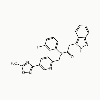 O=C(Cc1[nH]nc2ccccc12)N(Cc1ccc(-c2noc(C(F)(F)F)n2)cn1)c1cccc(F)c1